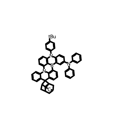 CC(C)(C)c1ccc(N2c3ccc(N(c4ccccc4)c4ccccc4)cc3B3c4cccc5c4N(c4ccccc4C54C5CC6CC7CC5C4(C7)C6)c4cccc2c43)cc1